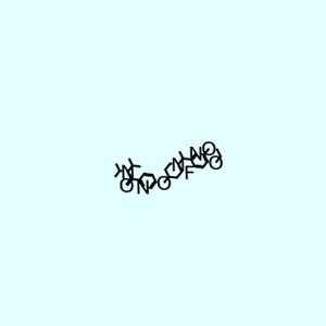 CC(c1nc2c(cc1F)OCCO2)N1CCC(Oc2ccc(C(=O)N(C(C)C)C(C)C)nc2)CC1